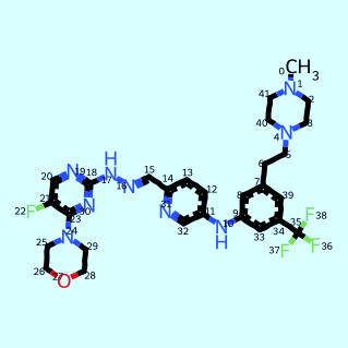 CN1CCN(CCc2cc(Nc3ccc(/C=N/Nc4ncc(F)c(N5CCOCC5)n4)nc3)cc(C(F)(F)F)c2)CC1